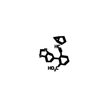 C#Cc1cccc(C(=O)O)c1-c1ccc2scnc2c1.c1cc2cc-2c1